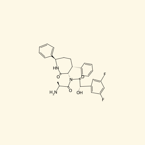 C[C@H](N)C(=O)N(C(=O)[C@@H](O)c1cc(F)cc(F)c1)[C@@H]1C(=O)N[C@@H](c2ccccc2)CC[C@@H]1c1ccccc1